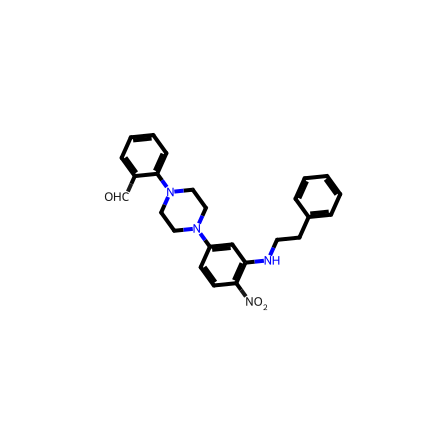 O=Cc1ccccc1N1CCN(c2ccc([N+](=O)[O-])c(NCCc3ccccc3)c2)CC1